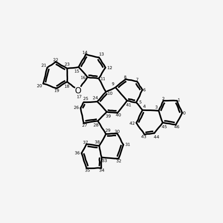 c1ccc2c(-c3cccc4c(-c5cccc6c5oc5ccccc56)c5cccc(-c6cccc7ccccc67)c5cc34)cccc2c1